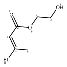 CCC(C)=CC(=O)OCCO